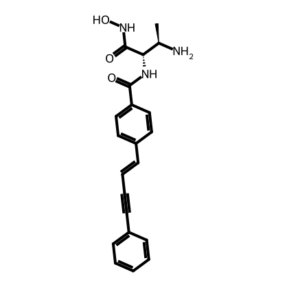 C[C@@H](N)[C@H](NC(=O)c1ccc(/C=C/C#Cc2ccccc2)cc1)C(=O)NO